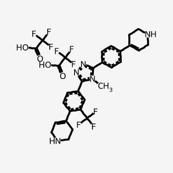 Cn1c(-c2ccc(C3=CCNCC3)cc2)nnc1-c1ccc(C2=CCNCC2)c(C(F)(F)F)c1.O=C(O)C(F)(F)F.O=C(O)C(F)(F)F